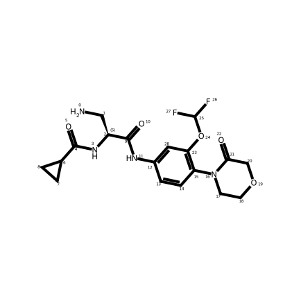 NC[C@H](NC(=O)C1CC1)C(=O)Nc1ccc(N2CCOCC2=O)c(OC(F)F)c1